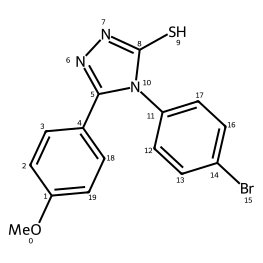 COc1ccc(-c2nnc(S)n2-c2ccc(Br)cc2)cc1